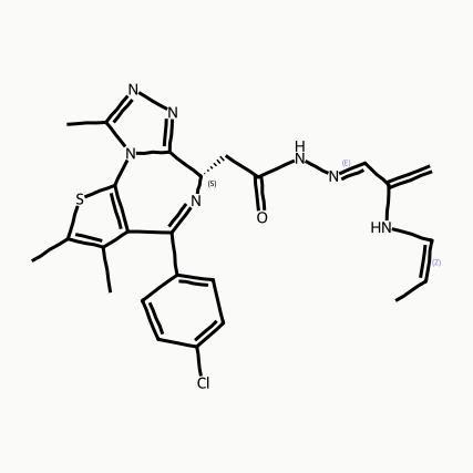 C=C(/C=N/NC(=O)C[C@@H]1N=C(c2ccc(Cl)cc2)c2c(sc(C)c2C)-n2c(C)nnc21)N/C=C\C